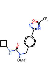 CON(Cc1ccc(-c2noc(C(F)(F)F)n2)cc1)C(=O)NC1CCC1